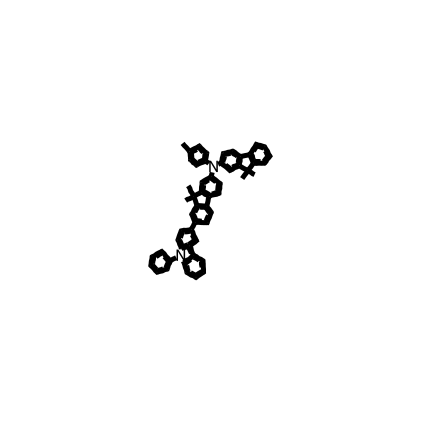 Cc1ccc(N(c2ccc3c(c2)C(C)(C)c2ccccc2-3)c2ccc3c(c2)C(C)(C)c2cc(-c4ccc5c(c4)c4ccccc4n5-c4ccccc4)ccc2-3)cc1